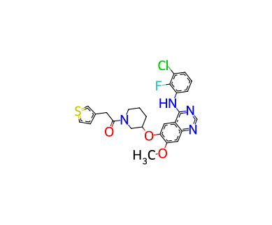 COc1cc2ncnc(Nc3cccc(Cl)c3F)c2cc1OC1CCCN(C(=O)Cc2ccsc2)C1